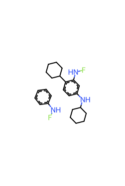 FNc1cc(NC2CCCCC2)ccc1C1CCCCC1.FNc1ccccc1